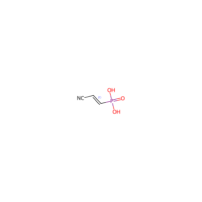 N#C/C=C/P(=O)(O)O